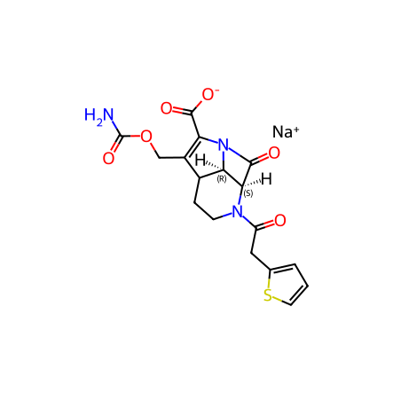 NC(=O)OCC1=C(C(=O)[O-])N2C(=O)[C@@H]3[C@H]2C1CCN3C(=O)Cc1cccs1.[Na+]